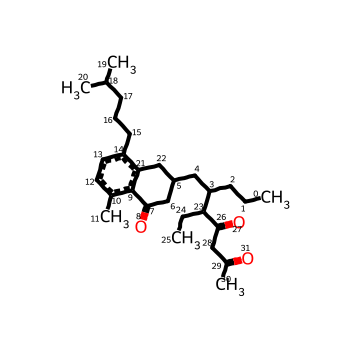 CCCC(CC1CC(=O)c2c(C)ccc(CCCC(C)C)c2C1)C(CC)C(=O)CC(C)=O